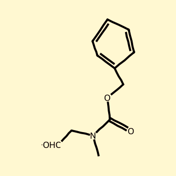 CN(C[C]=O)C(=O)OCc1ccccc1